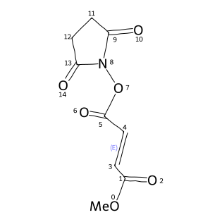 COC(=O)/C=C/C(=O)ON1C(=O)CCC1=O